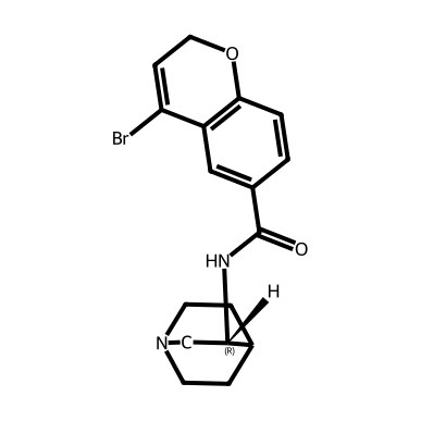 O=C(N[C@H]1CN2CCC1CC2)c1ccc2c(c1)C(Br)=CCO2